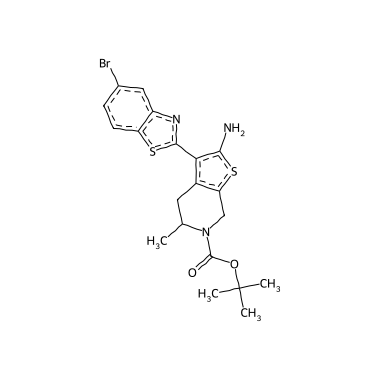 CC1Cc2c(sc(N)c2-c2nc3cc(Br)ccc3s2)CN1C(=O)OC(C)(C)C